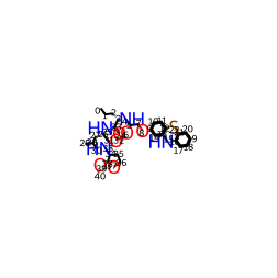 CCC[C@H](NC(=O)COc1ccc2c(c1)Nc1ccccc1S2)C(=O)N[C@@H](CC(C)C)C(=O)N[C@H]1CCOC1OC